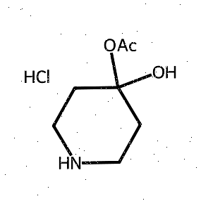 CC(=O)OC1(O)CCNCC1.Cl